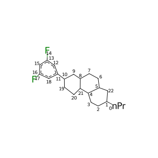 CCCC1CCC2C(CCC3CC(c4cc(F)cc(F)c4)CCC32)C1